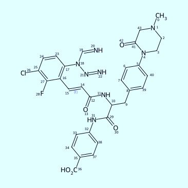 CN1CCN(c2ccc(CC(NC(=O)/C=C/c3c(N(C=N)N=N)ccc(Cl)c3F)C(=O)Nc3ccc(C(=O)O)cc3)cc2)C(=O)C1